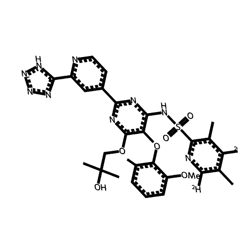 [2H]c1nc(S(=O)(=O)Nc2nc(-c3ccnc(-c4nnn[nH]4)c3)nc(OCC(C)(C)O)c2Oc2c(C)cccc2OC)c(C)c([2H])c1C